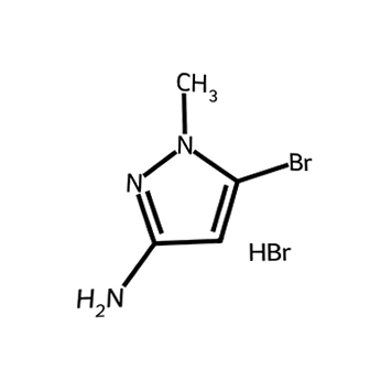 Br.Cn1nc(N)cc1Br